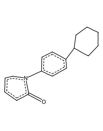 O=c1ccccn1-c1ccc(C2CCCCC2)cc1